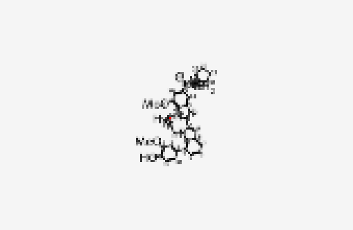 COc1cc(-c2cccc3cc(-c4nc5cc(C(=O)N6CC7CCC6[C@@H]7N)cc(OC)c5n4C)n(CC4CC4)c23)ccc1O